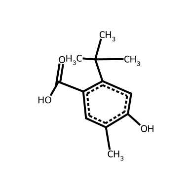 Cc1cc(C(=O)O)c(C(C)(C)C)cc1O